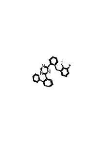 Fc1cccc(Cc2ccccc2-c2ncnc(-c3ccccc3-c3ccccc3)n2)c1F